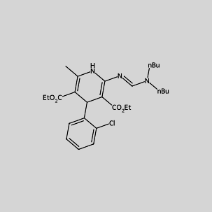 CCCCN(C=NC1=C(C(=O)OCC)C(c2ccccc2Cl)C(C(=O)OCC)=C(C)N1)CCCC